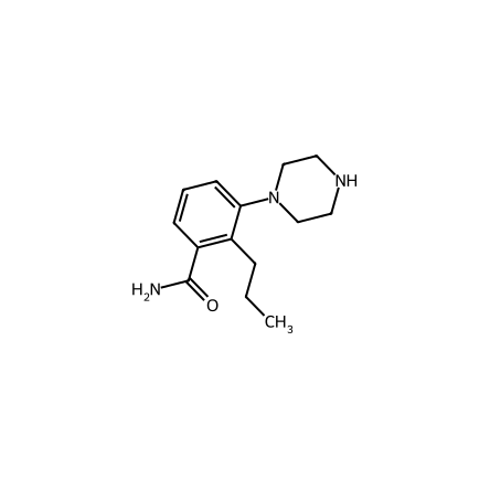 CCCc1c(C(N)=O)cccc1N1CCNCC1